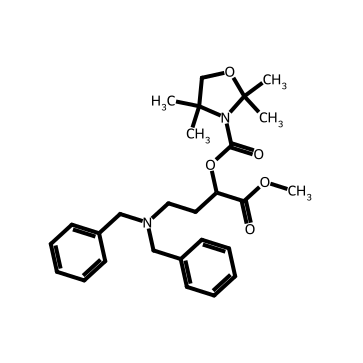 COC(=O)C(CCN(Cc1ccccc1)Cc1ccccc1)OC(=O)N1C(C)(C)COC1(C)C